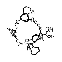 CN1Cc2cc(n(C)n2)CCc2cc3c(c(c2)OCCCc2c(C(O)O)n(C)c4c(c(Cl)ccc24)-c2c(nn4c2CCCC4)C1)NCCC3